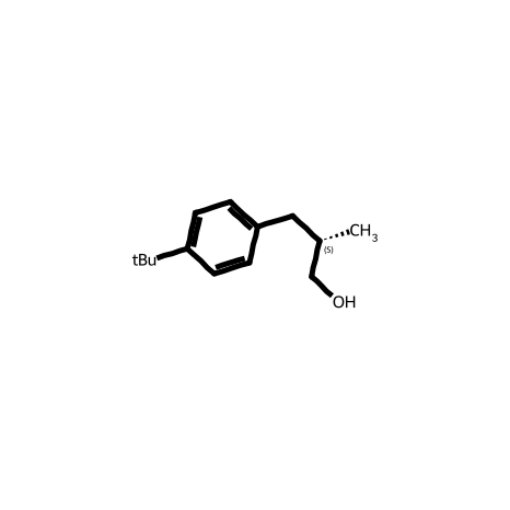 C[C@H](CO)Cc1ccc(C(C)(C)C)cc1